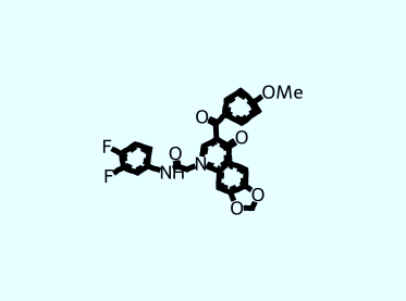 COc1ccc(C(=O)c2cn(CC(=O)Nc3ccc(F)c(F)c3)c3cc4c(cc3c2=O)OCO4)cc1